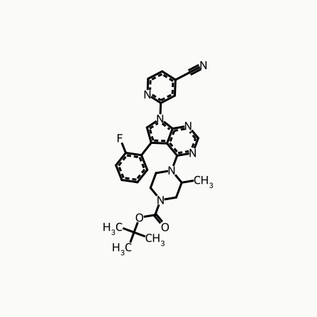 CC1CN(C(=O)OC(C)(C)C)CCN1c1ncnc2c1c(-c1ccccc1F)cn2-c1cc(C#N)ccn1